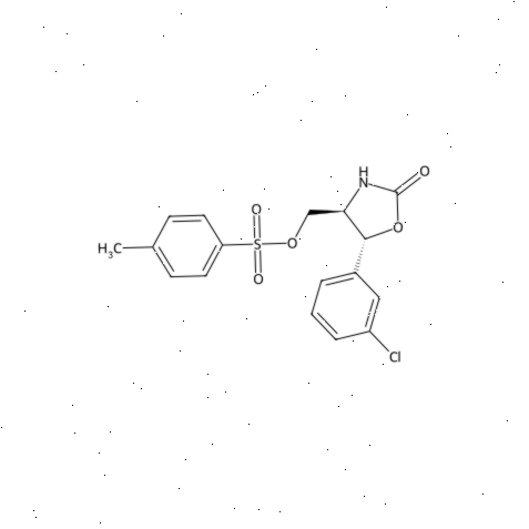 Cc1ccc(S(=O)(=O)OC[C@H]2NC(=O)O[C@@H]2c2cccc(Cl)c2)cc1